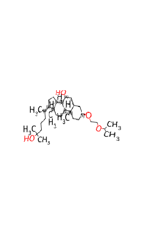 CC(C)OCCO[C@H]1CC[C@@]2(C)C(=C[C@@H](O)[C@H]3[C@@H]4CC[C@H]([C@H](C)CCCC(C)(C)O)[C@@]4(C)CC[C@@H]32)C1